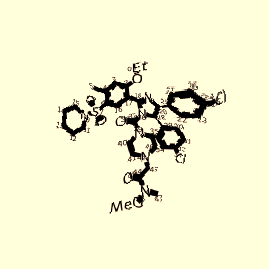 CCOc1cc(C)c(S(=O)(=O)N2CCCCC2)cc1C1=N[C@@H](c2ccc(Cl)cc2)[C@@H](c2ccc(Cl)cc2)N1C(=O)N1CCN(CC(=O)N(C)OC)CC1